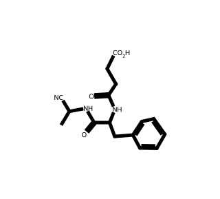 CC(C#N)NC(=O)C(Cc1ccccc1)NC(=O)CCC(=O)O